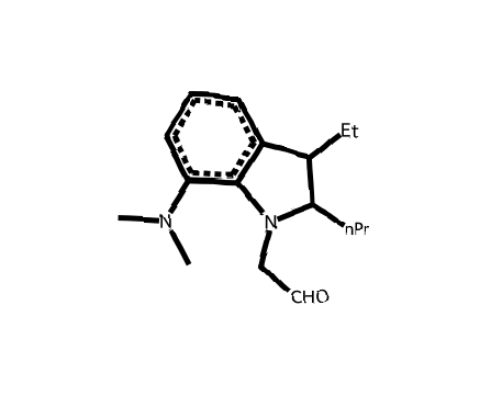 CCCC1C(CC)c2cccc(N(C)C)c2N1CC=O